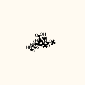 CC(C)(C)OC(=O)N[C@]1(C(C)(C)C)C[C@@](Sc2nc[nH]n2)(C(=O)O)[C@@H]2[C@@H](C(=O)O)[C@]21C(C)(C)C